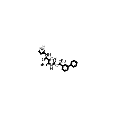 CCCC[C@H](NC(=O)OC(c1cccc(-c2ccccc2)c1)C(C)(C)C)[C@H](O)C(=O)Nc1ccn[nH]1